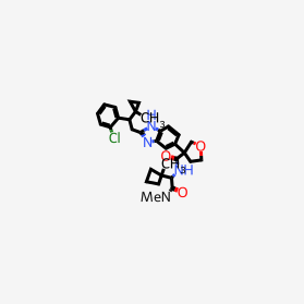 CNC(=O)C(NC(=O)C1(c2ccc3[nH]c(CC(c4ccccc4Cl)C4(C)CC4)nc3c2)CCOC1)C1(C)CCC1